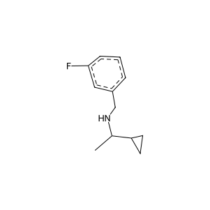 CC(NCc1cccc(F)c1)C1CC1